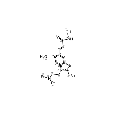 CCCCc1nc2cc(C=CC(=O)NO)ccc2n1CCN(CC)CC.O